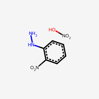 NNc1ccccc1[N+](=O)[O-].O=[N+]([O-])O